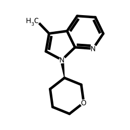 Cc1cn([C@@H]2CCCOC2)c2ncccc12